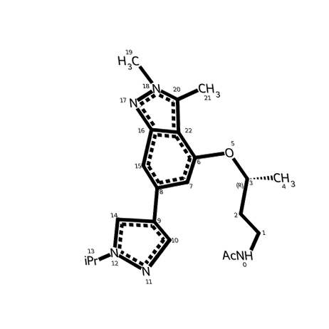 CC(=O)NCC[C@@H](C)Oc1cc(-c2cnn(C(C)C)c2)cc2nn(C)c(C)c12